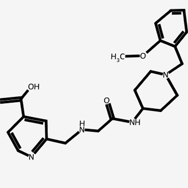 COc1ccccc1CN1CCC(NC(=O)CNCc2cc(C(=O)O)ccn2)CC1